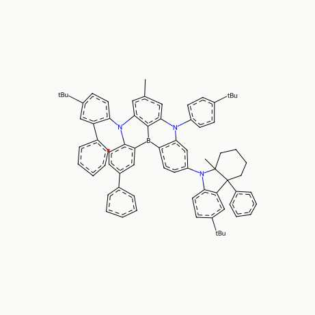 Cc1cc2c3c(c1)N(c1ccc(C(C)(C)C)cc1-c1ccccc1)c1ccc(-c4ccccc4)cc1B3c1ccc(N3c4ccc(C(C)(C)C)cc4C4(c5ccccc5)CCCCC34C)cc1N2c1ccc(C(C)(C)C)cc1